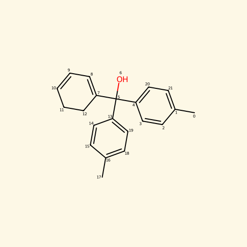 Cc1ccc(C(O)(C2=CC=CCC2)c2ccc(C)cc2)cc1